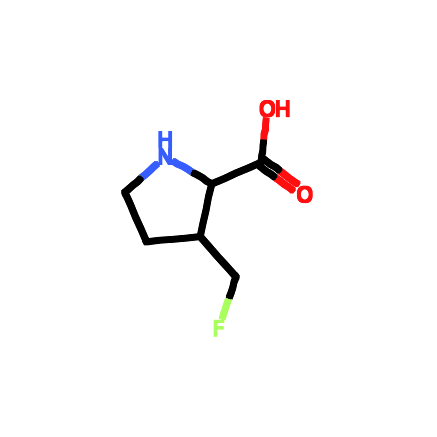 O=C(O)C1NCCC1CF